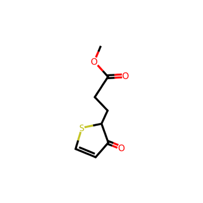 COC(=O)CCC1SC=CC1=O